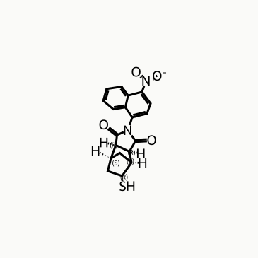 O=C1[C@@H]2[C@H]3C[C@@H]([C@@H]2C(=O)N1c1ccc([N+](=O)[O-])c2ccccc12)[C@H](S)C3